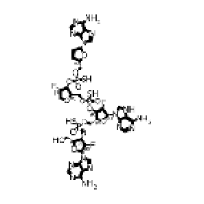 Nc1ncnc2c1NCN2[C@@H]1O[C@H](COP(=O)(S)O[C@H]2[C@@H](F)[C@H](n3cnc4c(N)ncnc43)O[C@@H]2CO)[C@@H](OP(=O)(S)OC[C@H]2OC[C@H](F)[C@@H]2OP(=O)(S)OC[C@@H]2CC[C@H](n3cnc4c(N)ncnc43)O2)[C@H]1F